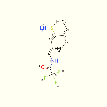 C\C=C(CC)/C(=C\C=C\NC(=O)C(F)(F)F)SN